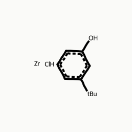 CC(C)(C)c1cccc(O)c1.Cl.[Zr]